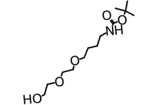 CC(C)(C)OC(=O)NCCCCOCCOCCO